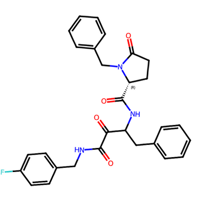 O=C(NCc1ccc(F)cc1)C(=O)C(Cc1ccccc1)NC(=O)[C@H]1CCC(=O)N1Cc1ccccc1